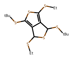 CCSc1sc(SC(C)(C)C)c2c1C(SC(C)(C)C)SC2SCC